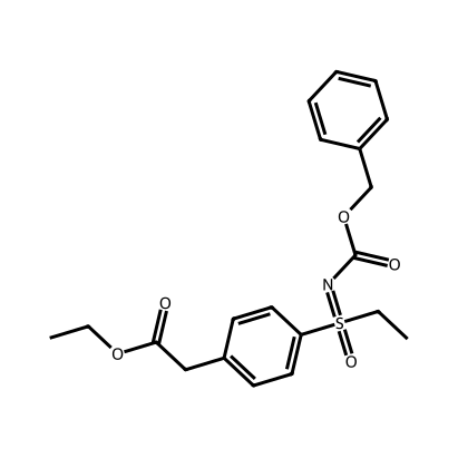 CCOC(=O)Cc1ccc(S(=O)(CC)=NC(=O)OCc2ccccc2)cc1